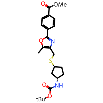 COC(=O)c1ccc(-c2nc(CS[C@H]3CC[C@H](NC(=O)OC(C)(C)C)C3)c(C)o2)cc1